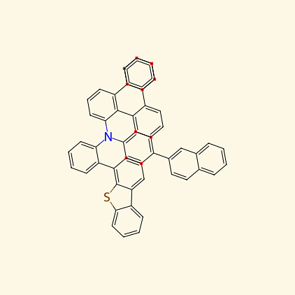 c1ccc(-c2ccccc2-c2c(-c3ccccc3)cccc2N(c2ccc(-c3ccc4ccccc4c3)cc2)c2ccccc2-c2cccc3c2sc2ccccc23)cc1